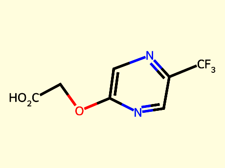 O=C(O)COc1cnc(C(F)(F)F)cn1